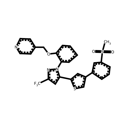 CS(=O)(=O)c1cccc(-c2csc(-c3cc(C(F)(F)F)nn3-c3ccccc3OCc3ccncc3)c2)c1